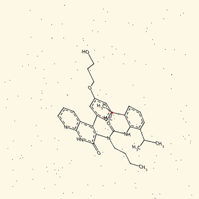 CCCCN(C(=O)Nc1c(C(C)C)cccc1C(C)C)c1c(-c2cccc(OCCCO)c2)c2cccnc2[nH]c1=O